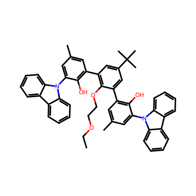 CCOCCOc1c(-c2cc(C)cc(-n3c4ccccc4c4ccccc43)c2O)cc(C(C)(C)C)cc1-c1cc(C)cc(-n2c3ccccc3c3ccccc32)c1O